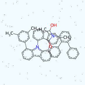 Cc1cc(C)cc(-c2cccc3c4cccc(-c5cc(C)cc(C)c5)c4n(-c4cccc5c4C(=O)N(c4cccc(-c6ccccc6)c4-c4ccccc4)C5O)c23)c1